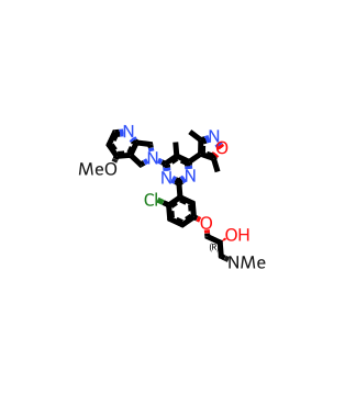 CNC[C@@H](O)COc1ccc(Cl)c(-c2nc(-c3c(C)noc3C)c(C)c(N3Cc4nccc(OC)c4C3)n2)c1